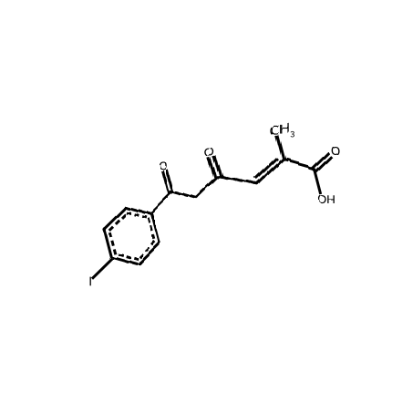 C/C(=C\C(=O)CC(=O)c1ccc(I)cc1)C(=O)O